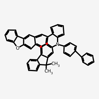 CC1(C)c2ccccc2-c2ccc(N(c3ccc(-c4ccccc4)cc3)c3ccccc3-c3ccc4cc5oc6ccccc6c5cc4c3)cc21